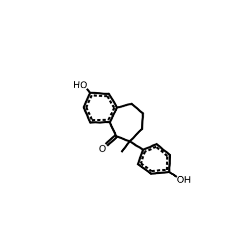 CC1(c2ccc(O)cc2)CCCc2cc(O)ccc2C1=O